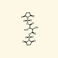 O=C(OS(=O)(=O)N1C(=O)CCC1=O)C(O)C(O)C(=O)OS(=O)(=O)N1C(=O)CCC1=O